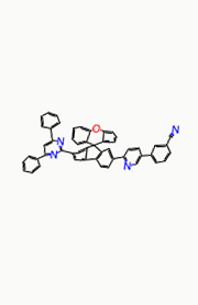 N#Cc1cccc(-c2ccc(-c3ccc4c(c3)C3(c5ccccc5Oc5ccccc53)c3cc(-c5nc(-c6ccccc6)cc(-c6ccccc6)n5)ccc3-4)nc2)c1